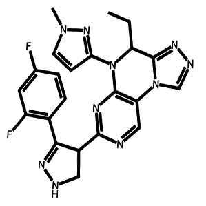 CCC1c2nncn2-c2cnc(C3CNN=C3c3ccc(F)cc3F)nc2N1c1ccn(C)n1